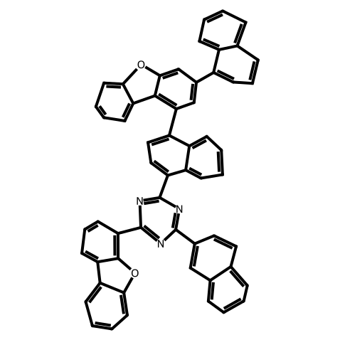 c1ccc2cc(-c3nc(-c4ccc(-c5cc(-c6cccc7ccccc67)cc6oc7ccccc7c56)c5ccccc45)nc(-c4cccc5c4oc4ccccc45)n3)ccc2c1